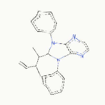 C=CC1c2ccccc2N2c3nccnc3N(c3ccccc3)C2C1C